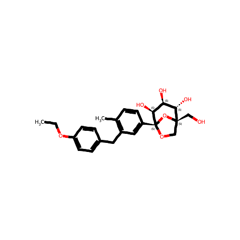 CCOc1ccc(Cc2cc([C@]34OC[C@](CO)(O3)[C@@H](O)[C@H](O)[C@@H]4O)ccc2C)cc1